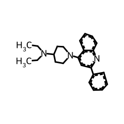 CCN(CC)C1CCN(c2cc(-c3ccccc3)nc3ccccc23)CC1